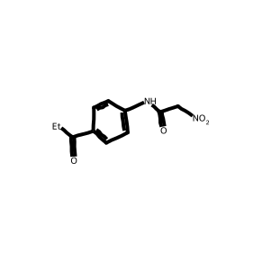 CCC(=O)c1ccc(NC(=O)C[N+](=O)[O-])cc1